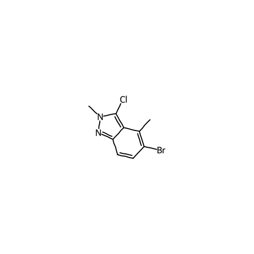 Cc1c(Br)ccc2nn(C)c(Cl)c12